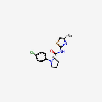 CC(C)(C)c1csc(NC(=O)[C@@H]2CCCN2c2ccc(Cl)cc2)n1